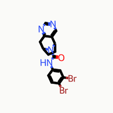 O=C(Nc1ccc(Br)c(Br)c1)N1C2CCC1c1cncnc1C2